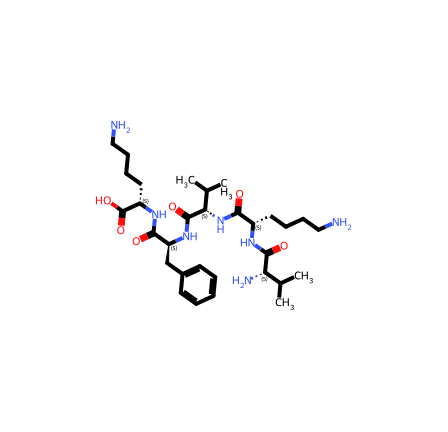 CC(C)[C@H](N)C(=O)N[C@@H](CCCCN)C(=O)N[C@H](C(=O)N[C@@H](Cc1ccccc1)C(=O)N[C@@H](CCCCN)C(=O)O)C(C)C